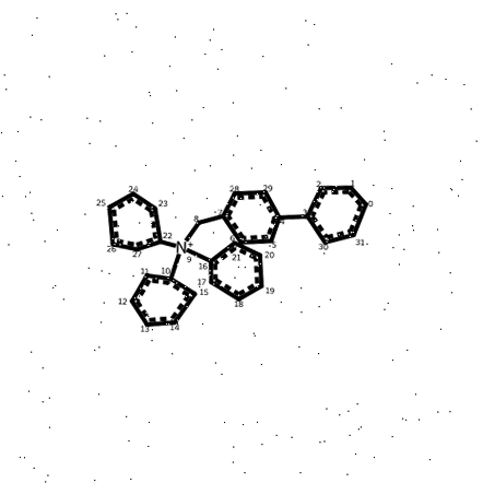 c1ccc(-c2ccc(C[N+](c3ccccc3)(c3ccccc3)c3ccccc3)cc2)cc1